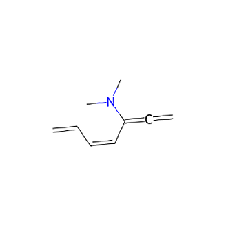 C=C=C(/C=C\C=C)N(C)C